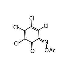 CC(=O)ON=C1C(=O)C(Cl)=C(Cl)C(Cl)=C1Cl